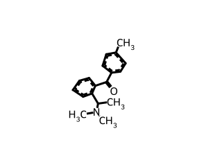 Cc1ccc(C(=O)c2ccccc2C(C)N(C)C)cc1